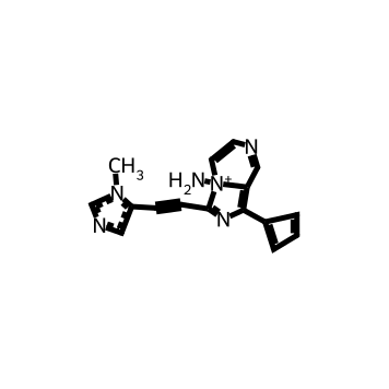 Cn1cncc1C#CC1=NC(C2=CC=C2)=C2C=NC=C[N+]12N